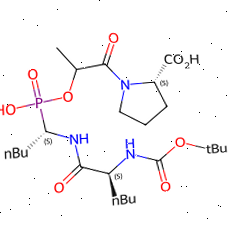 CCCC[C@H](NC(=O)OC(C)(C)C)C(=O)N[C@H](CCCC)P(=O)(O)OC(C)C(=O)N1CCC[C@H]1C(=O)O